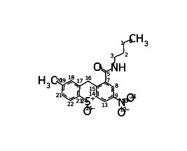 CCCCNC(=O)c1cc([N+](=O)[O-])cc2c1Cc1cc(C)ccc1[S+]2[O-]